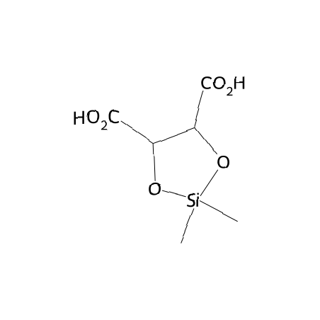 C[Si]1(C)OC(C(=O)O)C(C(=O)O)O1